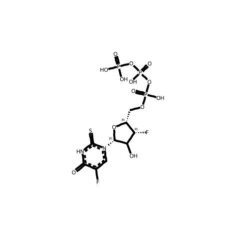 O=c1[nH]c(=S)n([C@@H]2O[C@H](COP(=O)(O)OP(=O)(O)OP(=O)(O)O)[C@H](F)C2O)cc1F